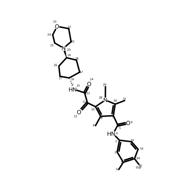 Cc1cc(NC(=O)c2c(C)c(C(=O)C(=O)N[C@H]3CC[C@H](N4CCOCC4)CC3)n(C)c2C)ccc1F